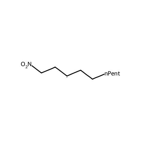 CCCCCCC[CH]CC[N+](=O)[O-]